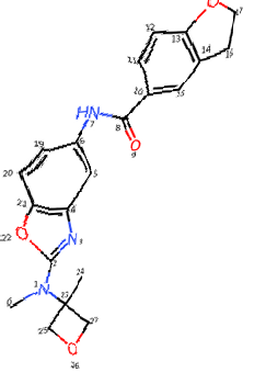 CN(c1nc2cc(NC(=O)c3ccc4c(c3)CCO4)ccc2o1)C1(C)COC1